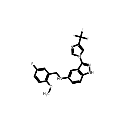 COc1ccc(F)cc1CNc1ccc2[nH]nc(-n3cnc(C(F)(F)F)c3)c2c1